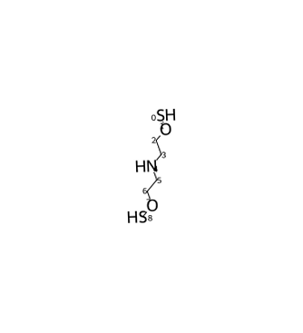 SOCCNCCOS